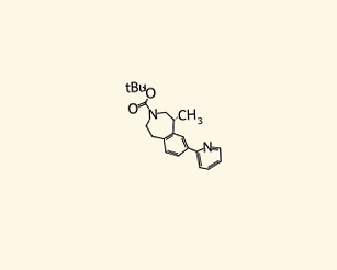 C[C@H]1CN(C(=O)OC(C)(C)C)CCc2ccc(-c3ccccn3)cc21